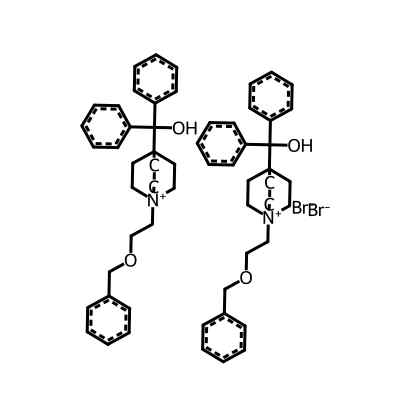 OC(c1ccccc1)(c1ccccc1)C12CC[N+](CCOCc3ccccc3)(CC1)CC2.OC(c1ccccc1)(c1ccccc1)C12CC[N+](CCOCc3ccccc3)(CC1)CC2.[Br-].[Br-]